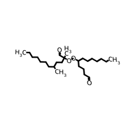 CCCCCCCC(C)CCC(C)(C=O)OOC(CCCC=O)CCCCCCC